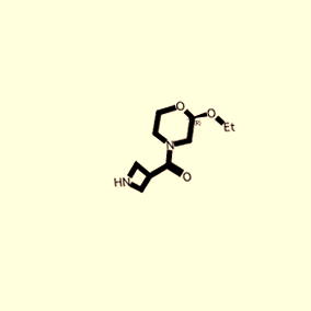 CCO[C@H]1CN(C(=O)C2CNC2)CCO1